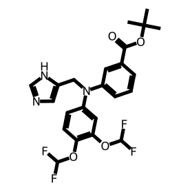 CC(C)(C)OC(=O)c1cccc(N(Cc2cnc[nH]2)c2ccc(OC(F)F)c(OC(F)F)c2)c1